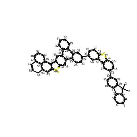 CC1(C)c2ccccc2-c2ccc(-c3ccc4sc5ccc(-c6ccc7c(c6)c6ccccc6c6cc8c(cc76)sc6cc7c9c(cccc9c68)C=CC7)cc5c4c3)cc21